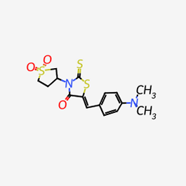 CN(C)c1ccc(/C=C2\SC(=S)N(C3CCS(=O)(=O)C3)C2=O)cc1